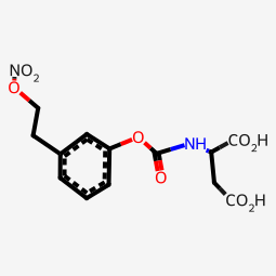 O=C(O)CC(NC(=O)Oc1cccc(CCO[N+](=O)[O-])c1)C(=O)O